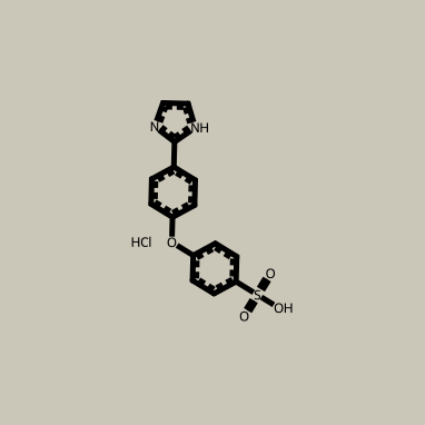 Cl.O=S(=O)(O)c1ccc(Oc2ccc(-c3ncc[nH]3)cc2)cc1